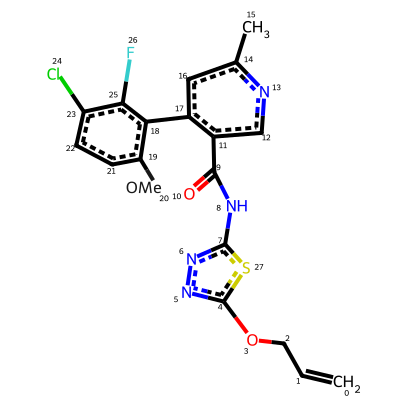 C=CCOc1nnc(NC(=O)c2cnc(C)cc2-c2c(OC)ccc(Cl)c2F)s1